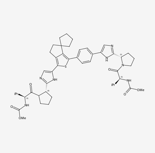 COC(=O)N[C@H](C(=O)C1CCC[C@H]1c1ncc(-c2sc(-c3ccc(-c4cnc([C@@H]5CCCN5C(=O)[C@@H](NC(=O)OC)C(C)C)[nH]4)cc3)c3c2CCC32CCCC2)[nH]1)C(C)C